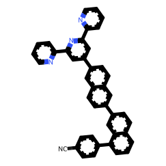 N#Cc1ccc(-c2cccc3ccc(-c4ccc5cc(-c6cc(-c7ccccn7)nc(-c7ccccn7)c6)ccc5c4)cc23)cc1